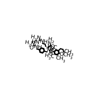 Cc1c(C)c(S(=O)(=O)N(Cc2ccc(CNC(N)=O)cc2)[C@H](CCCNC(=N)N)C(N)=O)c(C)c2c1OC(C)(C)CC2